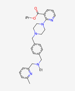 CCN(Cc1ccc(CN2CCN(c3ncccc3C(=O)OC(C)C)CC2)cc1)Cc1cccc(C)n1